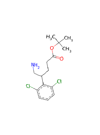 CC(C)(C)OC(=O)CCC(CN)c1c(Cl)cccc1Cl